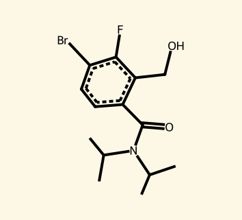 CC(C)N(C(=O)c1ccc(Br)c(F)c1CO)C(C)C